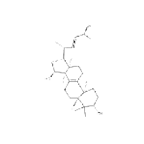 CC(C)[C@@H](C)/C=C/[C@@H](C)[C@H]1C[C@H](O)[C@@H]2C3=C(CC[C@]12C)[C@@]1(C)CC[C@H](O)C(C)(C)[C@@H]1CC3